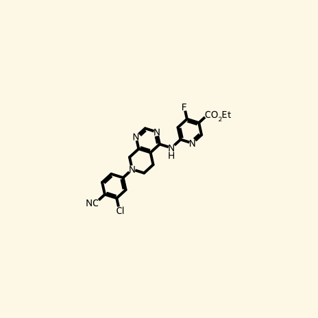 CCOC(=O)c1cnc(Nc2ncnc3c2CCN(c2ccc(C#N)c(Cl)c2)C3)cc1F